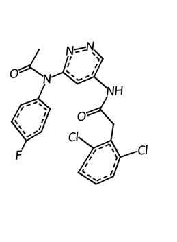 CC(=O)N(c1ccc(F)cc1)c1cc(NC(=O)Cc2c(Cl)cccc2Cl)cnn1